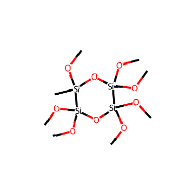 CO[Si]1(C)O[Si](OC)(OC)[Si](OC)(OC)O[Si]1(OC)OC